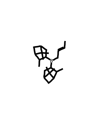 C/C=C/CB(C1CC2CC(C1C)C2(C)C)C1CC2CC(C1C)C2(C)C